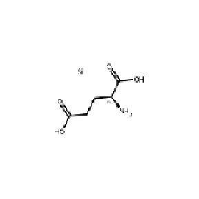 N[C@@H](CCC(=O)O)C(=O)O.[Si]